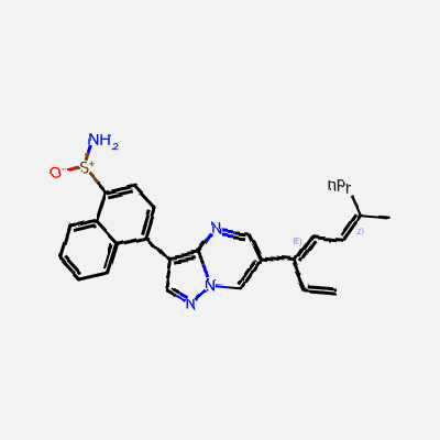 C=C/C(=C\C=C(\C)CCC)c1cnc2c(-c3ccc([S+](N)[O-])c4ccccc34)cnn2c1